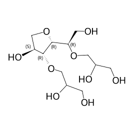 OCC(O)CO[C@H]1[C@@H]([C@@H](CO)OCC(O)CO)OC[C@@H]1O